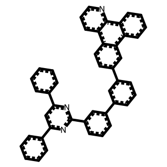 c1ccc(-c2cc(-c3ccccc3)nc(-c3cccc(-c4cccc(-c5ccc6c(c5)c5ccccc5c5ncccc65)c4)c3)n2)cc1